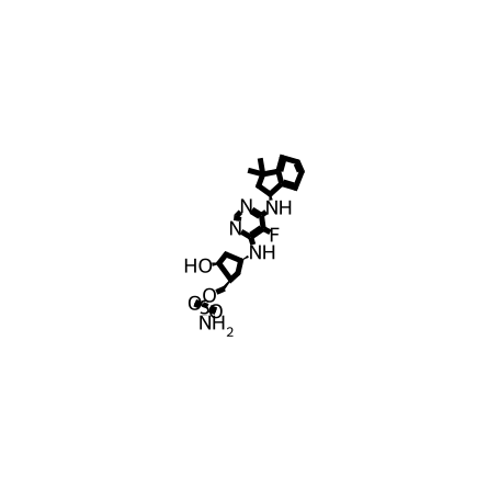 CC1(C)C[C@H](Nc2ncnc(N[C@@H]3C[C@@H](COS(N)(=O)=O)[C@@H](O)C3)c2F)c2ccccc21